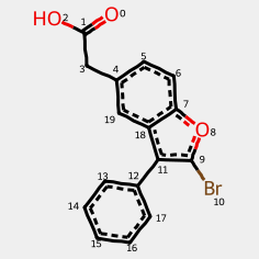 O=C(O)Cc1ccc2oc(Br)c(-c3ccccc3)c2c1